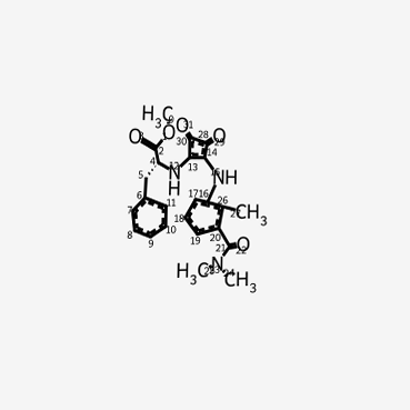 COC(=O)[C@@H](Cc1ccccc1)Nc1c(Nc2cccc(C(=O)N(C)C)c2C)c(=O)c1=O